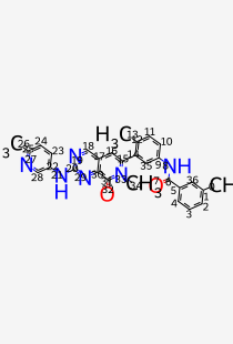 Cc1cccc(C(=O)Nc2ccc(C)c(-c3cc4cnc(Nc5ccc(C)nc5)nc4c(=O)n3C)c2)c1